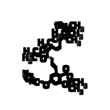 C[C@H](/C=C\[C@@H](C)[C@H](C)O[Si](C)(C)C(C)(C)C)[C@H]1OC(C)(C)O[C@H]1C/C=C/c1cc(OCCn2ccnc2)cc2c1C(=O)OC(C)(C)O2